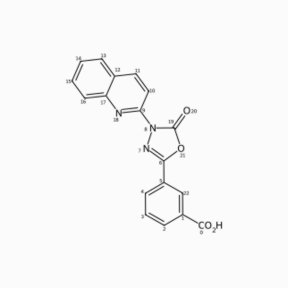 O=C(O)c1cccc(-c2nn(-c3ccc4ccccc4n3)c(=O)o2)c1